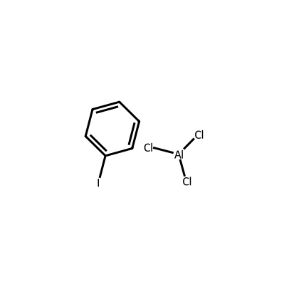 Ic1ccccc1.[Cl][Al]([Cl])[Cl]